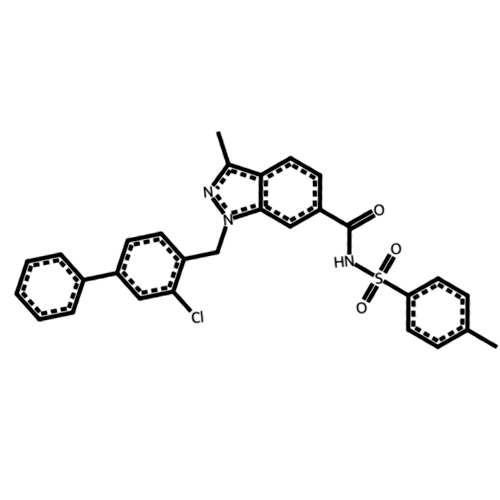 Cc1ccc(S(=O)(=O)NC(=O)c2ccc3c(C)nn(Cc4ccc(-c5ccccc5)cc4Cl)c3c2)cc1